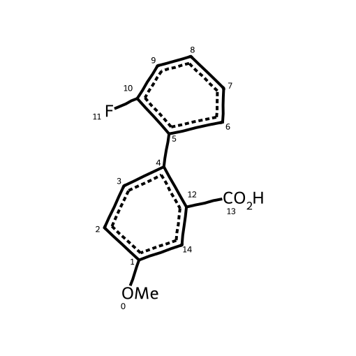 COc1ccc(-c2ccccc2F)c(C(=O)O)c1